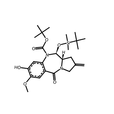 C=C1C[C@H]2[C@H](O[Si](C)(C)C(C)(C)C)N(C(=O)OC(C)(C)C)c3cc(O)c(OC)cc3C(=O)N2C1